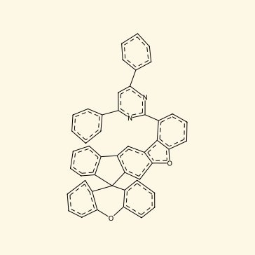 c1ccc(-c2cc(-c3ccccc3)nc(-c3cccc4oc5cc6c(cc5c34)-c3ccccc3C63c4ccccc4Oc4ccccc43)n2)cc1